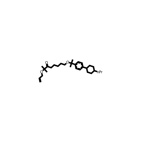 C=CCOC(C)(C)C(=O)CCCCCOC(C)(C)c1ccc(C2CCC(CCC)CC2)cc1